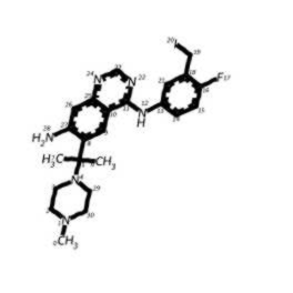 CN1CCN(C(C)(C)c2cc3c(Nc4ccc(F)c(CI)c4)ncnc3cc2N)CC1